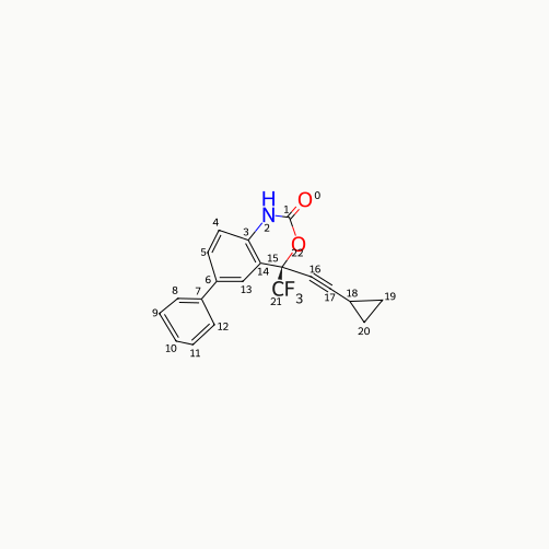 O=C1Nc2ccc(-c3ccccc3)cc2[C@](C#CC2CC2)(C(F)(F)F)O1